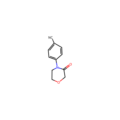 N#Cc1ccc(N2CCOCC2=O)cc1